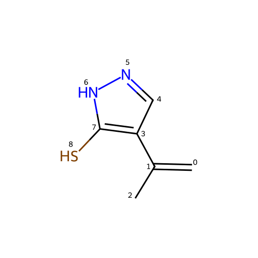 C=C(C)c1cn[nH]c1S